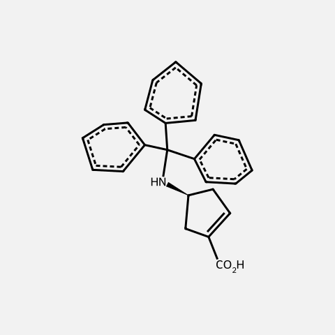 O=C(O)C1=CC[C@H](NC(c2ccccc2)(c2ccccc2)c2ccccc2)C1